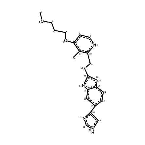 COCCCOc1ccnc(CSc2nc3cc(-c4c[nH]cn4)ccc3[nH]2)c1C